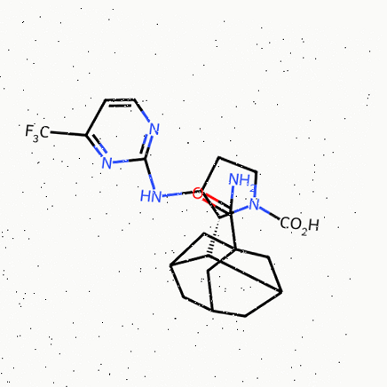 NC(=O)C12CC3CC(C1)C([C@@H]1C(Nc4nccc(C(F)(F)F)n4)CCN1C(=O)O)C(C3)C2